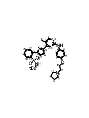 Cc1cnc(Nc2ccc(OCCN3CCCC3)cc2)nc1-c1ccc(-c2ccccc2S(=O)(=O)NC(C)(C)C)s1